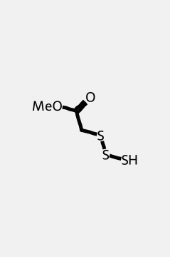 COC(=O)CSSS